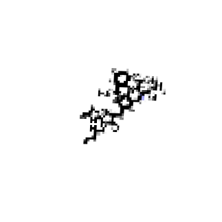 CCCCCN(C(=O)NC(C)C)C(=O)[C@@H](N)Cc1ccc(N(C(=O)C(=O)O)c2ccccc2C(=O)O)c(/C=C/C(N)=O)c1